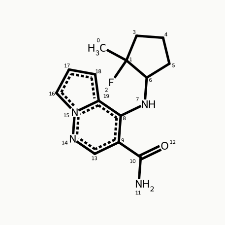 CC1(F)CCCC1Nc1c(C(N)=O)cnn2cccc12